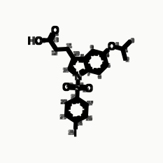 CC(C)Oc1ccc2c(c1)c(CCC(=O)O)cn2S(=O)(=O)c1ccc(I)cc1